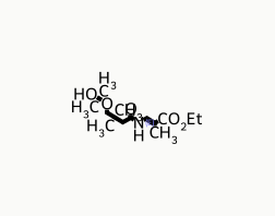 CCOC(=O)/C(C)=C/NC(=O)CC(C)(C)COC(C)(C)O